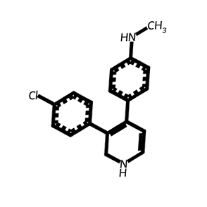 CNc1ccc(C2=C(c3ccc(Cl)cc3)CNC=C2)cc1